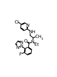 CCN(C(=O)c1cccc(F)c1-n1nccn1)C(C)CNc1ccc(Cl)cn1